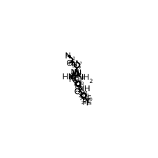 N#CCC(=O)N1CCCC(c2nc(N)c3c(-c4ccc(NC(=O)c5ccc(C(F)(F)F)cc5)cc4)n[nH]c3n2)C1